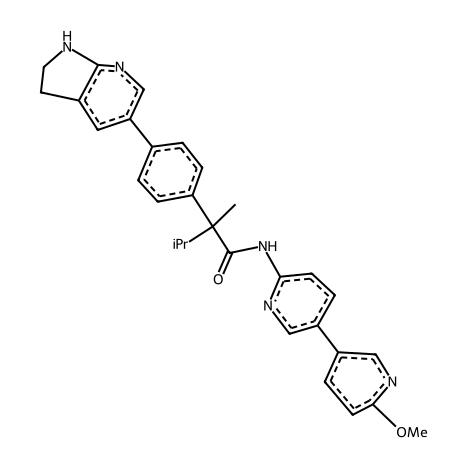 COc1ccc(-c2ccc(NC(=O)C(C)(c3ccc(-c4cnc5c(c4)CCN5)cc3)C(C)C)nc2)cn1